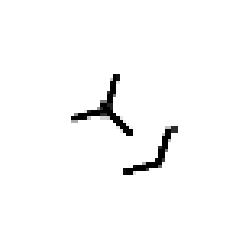 CN(C)C.[CH2]CC